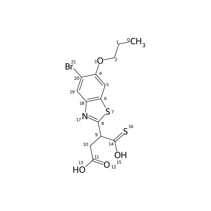 CCCOc1cc2sc(C(CC(=O)O)C(O)=S)nc2cc1Br